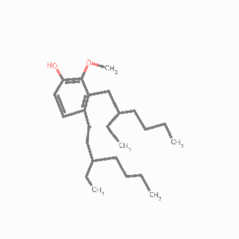 CCCCC(CC)C[C]c1ccc(O)c(OC)c1CC(CC)CCCC